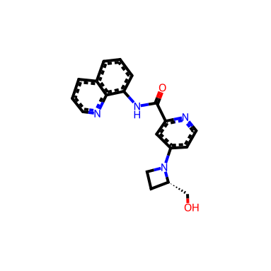 O=C(Nc1cccc2cccnc12)c1cc(N2CC[C@H]2CO)ccn1